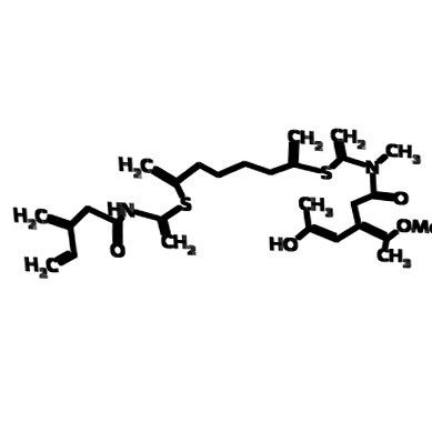 C=CC(=C)CC(=O)NC(=C)SC(=C)CCCCC(=C)SC(=C)N(C)C(=O)CC(/C=C(\C)O)=C(/C)OC